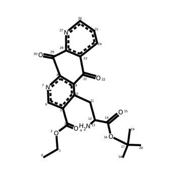 CCOC(=O)c1cnc2c(c1CC(N)C(=O)OC(C)(C)C)C(=O)c1cccnc1C2=O